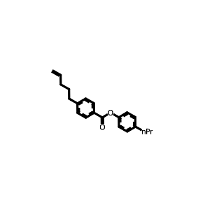 C=CCCCc1ccc(C(=O)Oc2ccc(CCC)cc2)cc1